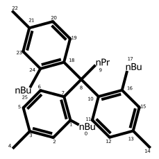 CCCCc1cc(C)ccc1C(CCC)(c1ccc(C)cc1CCCC)c1ccc(C)cc1CCCC